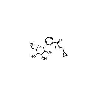 O=C(NCC1CC1)c1cccc([C@H]2O[C@H](CO)[C@@H](O)[C@H](O)[C@@H]2O)c1